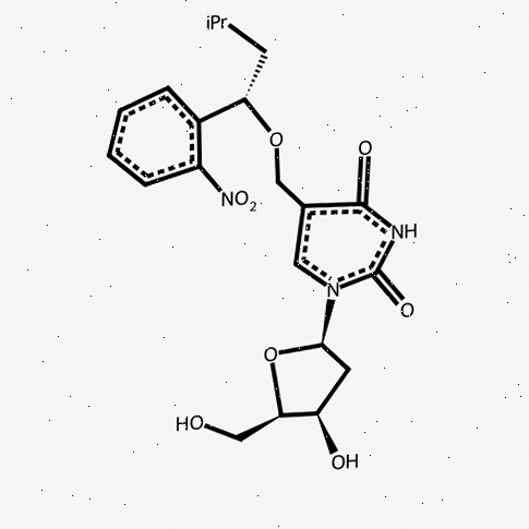 CC(C)C[C@H](OCc1cn([C@H]2C[C@@H](O)[C@@H](CO)O2)c(=O)[nH]c1=O)c1ccccc1[N+](=O)[O-]